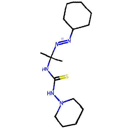 CC(C)(/N=N/C1CCCCC1)NC(=S)NN1CCCCC1